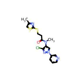 Cc1csc(SCCC(=O)N(C)c2cn(-c3cccnc3)nc2Cl)n1